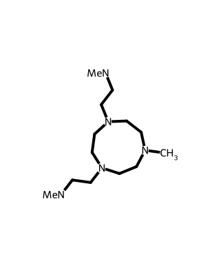 CNCCN1CCN(C)CCN(CCNC)CC1